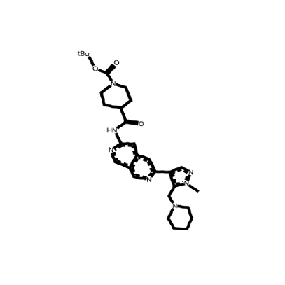 Cn1ncc(-c2cc3cc(NC(=O)C4CCN(C(=O)OC(C)(C)C)CC4)ncc3cn2)c1CN1CCCCC1